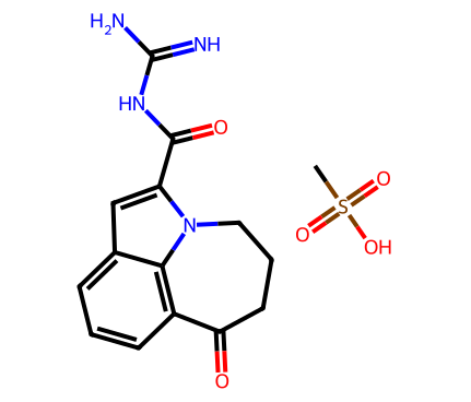 CS(=O)(=O)O.N=C(N)NC(=O)c1cc2cccc3c2n1CCCC3=O